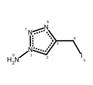 Nn1cc(CI)nn1